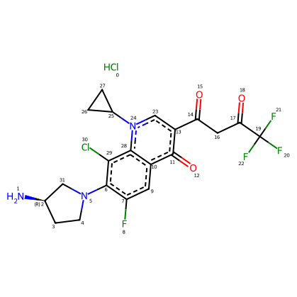 Cl.N[C@@H]1CCN(c2c(F)cc3c(=O)c(C(=O)CC(=O)C(F)(F)F)cn(C4CC4)c3c2Cl)C1